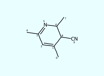 CC1=CC(C)=NC(C)C1C#N